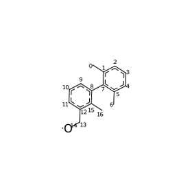 Cc1cccc(C)c1-c1cccc(C[O])c1C